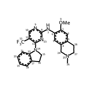 COc1cc2c(cc1Nc1ncc(C(F)(F)F)c(N3CCc4ccccc43)n1)CN(C)CC2